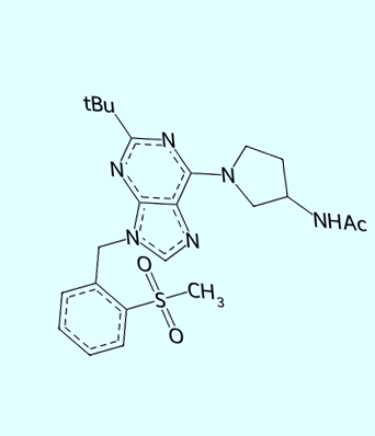 CC(=O)NC1CCN(c2nc(C(C)(C)C)nc3c2ncn3Cc2ccccc2S(C)(=O)=O)C1